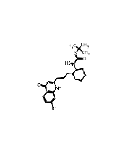 CC(C)(C)OC(=O)N(S)[C@H]1CCCC[C@H]1CCCc1cc(=O)c2ccc(Br)cc2[nH]1